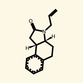 C=CCN1C(=O)C[C@H]2c3ccccc3CC[C@H]21